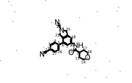 N#Cc1ccc(-c2cc(NC(=O)C3CCOCC3)cc3c2CN(C#N)C3)cc1